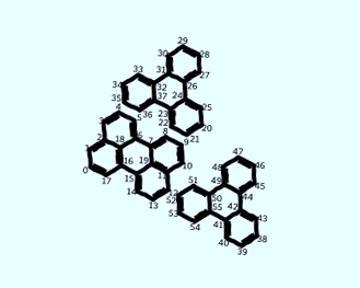 c1cc2cccc3c4cccc5cccc(c(c1)c23)c54.c1ccc2c(c1)c1ccccc1c1ccccc21.c1ccc2c(c1)c1ccccc1c1ccccc21